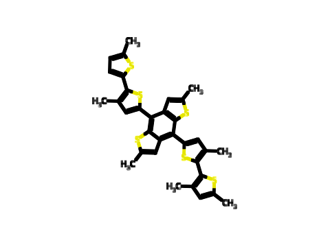 Cc1ccc(-c2sc(-c3c4cc(C)sc4c(-c4cc(C)c(-c5sc(C)cc5C)s4)c4cc(C)sc34)cc2C)s1